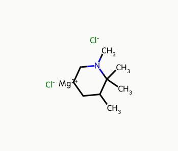 CC1CCCN(C)C1(C)C.[Cl-].[Cl-].[Mg+2]